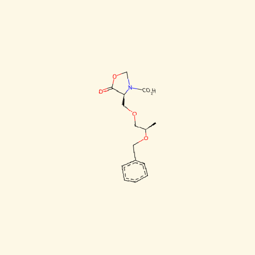 C[C@H](COC[C@H]1C(=O)OCN1C(=O)O)OCc1ccccc1